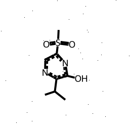 CC(C)c1ncc(S(C)(=O)=O)nc1O